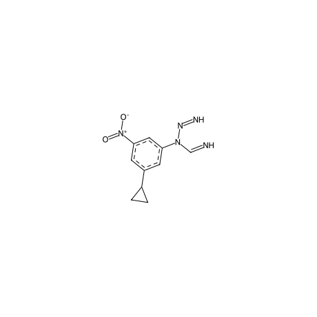 N=CN(N=N)c1cc(C2CC2)cc([N+](=O)[O-])c1